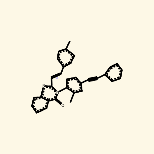 Cc1ccc(/C=C/c2nc3ccccc3c(=O)n2-c2ccc(C#Cc3ccccc3)cc2C)cc1